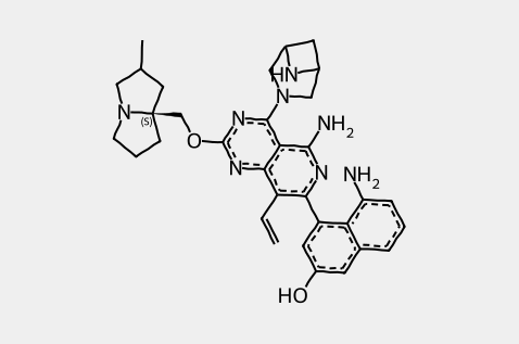 C=Cc1c(-c2cc(O)cc3cccc(N)c23)nc(N)c2c(N3CC4CC(C3)N4)nc(OC[C@@]34CCCN3CC(C)C4)nc12